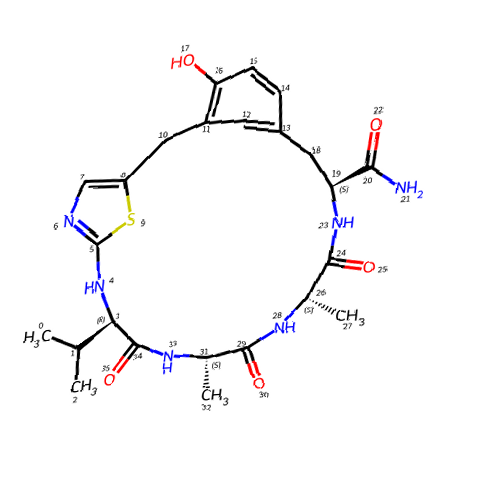 CC(C)[C@H]1Nc2ncc(s2)Cc2cc(ccc2O)C[C@@H](C(N)=O)NC(=O)[C@H](C)NC(=O)[C@H](C)NC1=O